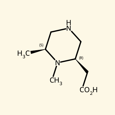 C[C@H]1CNC[C@@H](CC(=O)O)N1C